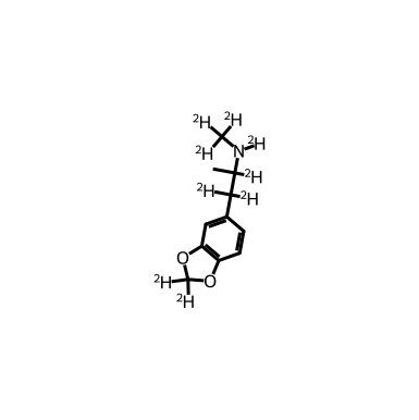 [2H]N(C([2H])([2H])[2H])C([2H])(C)C([2H])([2H])c1ccc2c(c1)OC([2H])([2H])O2